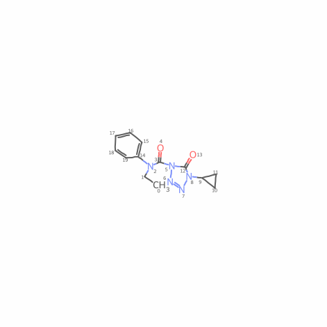 CCN(C(=O)n1nnn(C2CC2)c1=O)c1ccccc1